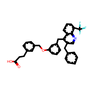 O=C(O)CCc1cccc(COc2cccc(Cc3c(Cc4ccccc4)cnc4c(C(F)(F)F)cccc34)c2)c1